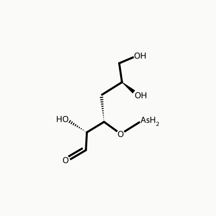 O=C[C@H](O)[C@H](C[C@H](O)CO)O[AsH2]